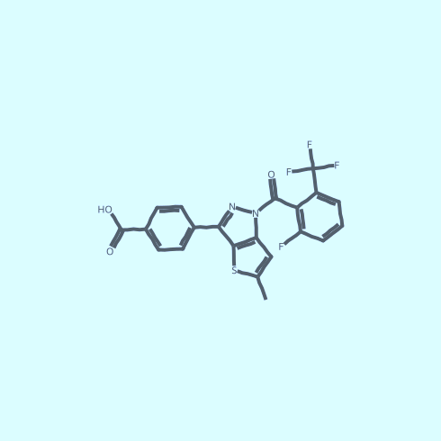 Cc1cc2c(s1)c(-c1ccc(C(=O)O)cc1)nn2C(=O)c1c(F)cccc1C(F)(F)F